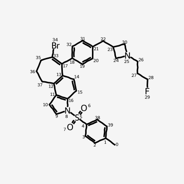 Cc1ccc(S(=O)(=O)n2ccc3c4c(ccc32)C(c2ccc(CC3CN(CCCF)C3)cc2)=C(Br)CCC4)cc1